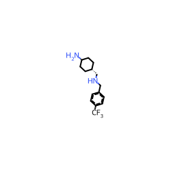 N[C@H]1CC[C@H](CNCc2ccc(C(F)(F)F)cc2)CC1